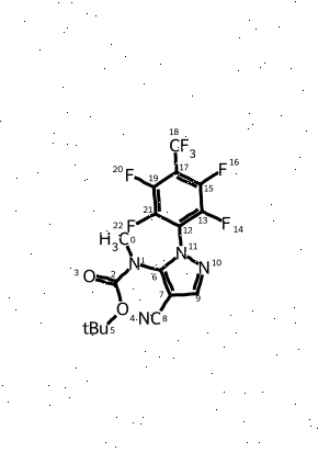 CN(C(=O)OC(C)(C)C)c1c(C#N)cnn1-c1c(F)c(F)c(C(F)(F)F)c(F)c1F